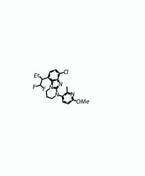 CCC(c1ccc(Cl)c2nc3n(c12)CCCN3c1ccc(OC)nc1C)C(F)F